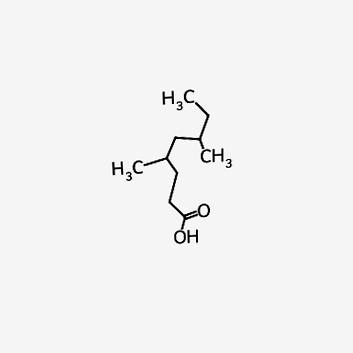 CCC(C)CC(C)CCC(=O)O